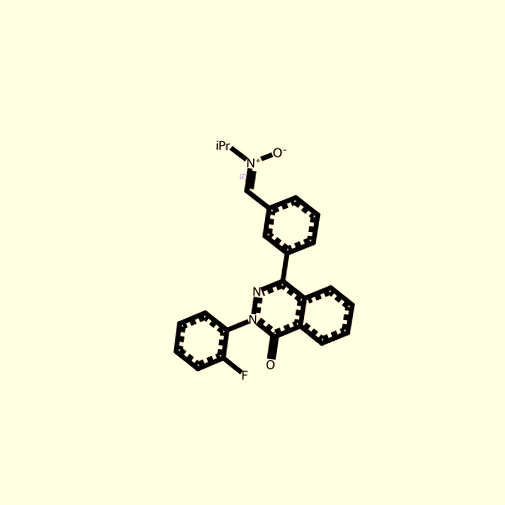 CC(C)/[N+]([O-])=C/c1cccc(-c2nn(-c3ccccc3F)c(=O)c3ccccc23)c1